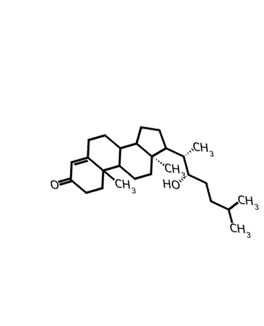 CC(C)CC[C@H](O)[C@@H](C)C1CCC2C3CCC4=CC(=O)CCC4(C)C3CC[C@@]21C